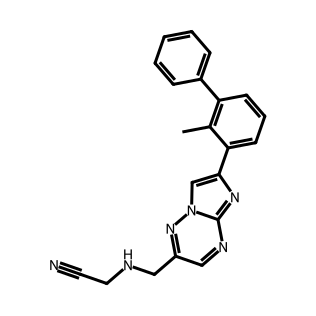 Cc1c(-c2ccccc2)cccc1-c1cn2nc(CNCC#N)cnc2n1